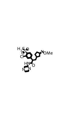 CON=C1CCC(CC(C(=O)Nc2cnccn2)c2ccc(S(C)(=O)=O)c(Cl)c2)C1